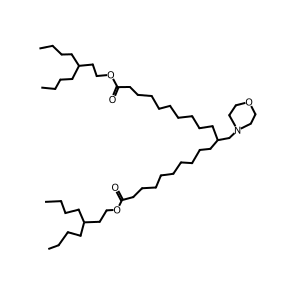 CCCCC(CCCC)CCOC(=O)CCCCCCCCCC(CCCCCCCCCC(=O)OCCC(CCCC)CCCC)CN1CCOCC1